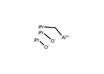 CC(C)[CH2][Al+2].CC(C)[O-].CC(C)[O-]